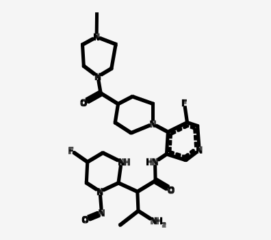 CC(N)C(C(=O)Nc1cncc(F)c1N1CCC(C(=O)N2CCN(C)CC2)CC1)C1NCC(F)CN1N=O